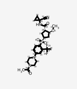 CO[C@H]1C[C@@H](S(=O)(=O)c2ccc(N3CCN(C(C)=O)CC3)cc2C(F)(F)F)C[C@@H]1C(=O)NC1(C#N)CC1